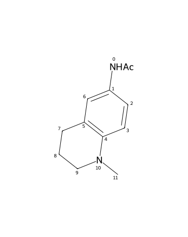 CC(=O)Nc1ccc2c(c1)CCCN2C